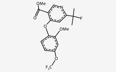 COC(=O)c1cnc(C(C)(C)F)cc1Oc1ccc(OC(F)(F)F)cc1OC